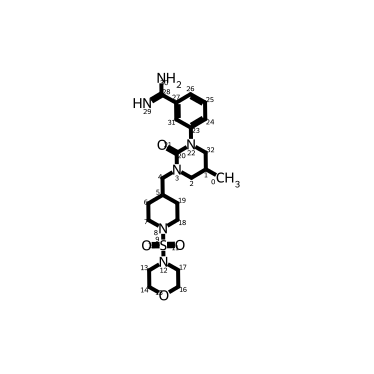 CC1CN(CC2CCN(S(=O)(=O)N3CCOCC3)CC2)C(=O)N(c2cccc(C(=N)N)c2)C1